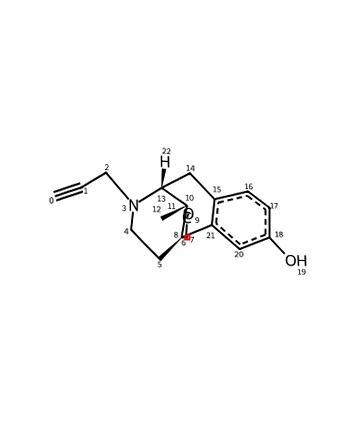 C#CCN1CC[C@]23CCCO[C@@]2(C)[C@H]1Cc1ccc(O)cc13